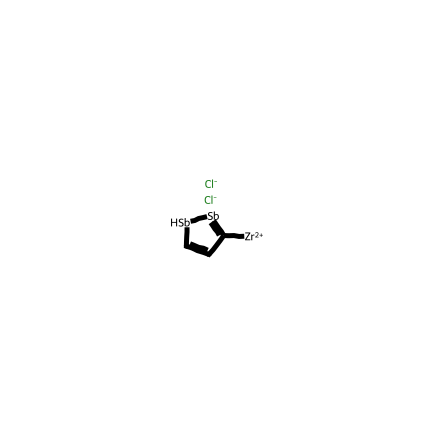 [Cl-].[Cl-].[Zr+2][C]1=[Sb][SbH][CH]=C1